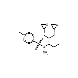 CCC(OS(=O)(=O)c1ccc(C)cc1)C(CC1CO1)CC1CO1.N